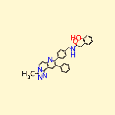 Cc1nnc2c3cc(-c4ccccc4)c(-c4ccc(CNC(=O)Cc5ccccc5O)cc4)nc3ccn12